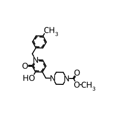 COC(=O)N1CCN(Cc2ccn(Cc3ccc(C)cc3)c(=O)c2O)CC1